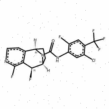 O=C(Nc1cc(Cl)c(C(F)(F)F)cc1F)N1[C@@H]2CC[C@H]1[C@@H](F)c1c2ccnc1F